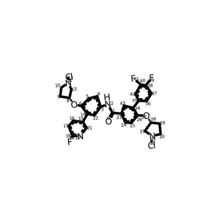 O=C(Nc1ccc(O[C@H]2CCN(Cl)C2)c(-c2ccc(F)nc2)c1)c1ccc(O[C@H]2CCN(Cl)C2)c(-c2ccc(F)c(F)c2)c1